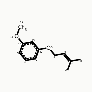 CC(C)=CCOc1cccc(OC(F)(F)F)c1